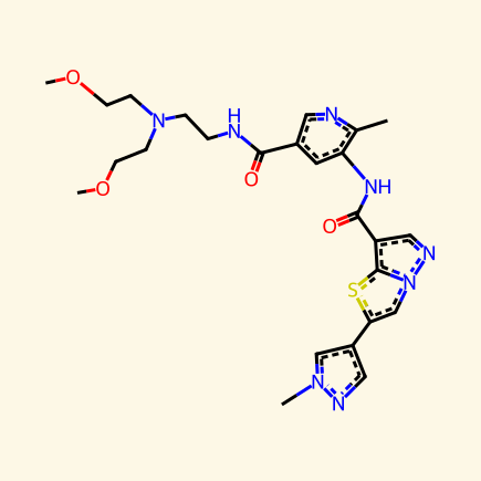 COCCN(CCNC(=O)c1cnc(C)c(NC(=O)c2cnn3cc(-c4cnn(C)c4)sc23)c1)CCOC